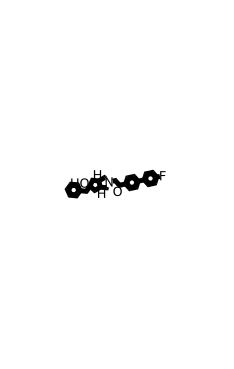 O=C(CN1C[C@@H]2C[C@](O)(Cc3ccccc3)C[C@@H]2C1)c1ccc(-c2ccc(F)cc2)cc1